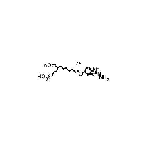 CCCCCCCCC(CCCCCCCOc1ccc2[n-]c(=NN)sc2c1)CCCS(=O)(=O)O.[K+]